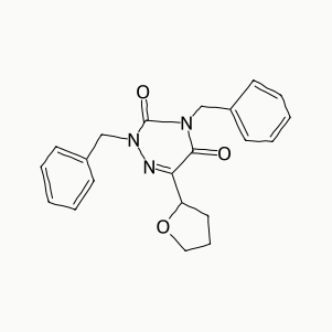 O=c1c(C2CCCO2)nn(Cc2ccccc2)c(=O)n1Cc1ccccc1